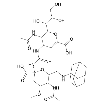 COC1CC(NC(=N)NC2C=C(C(=O)O)OC(C(O)C(O)CO)C2NC(C)=O)(C(=O)O)OC(CNC23CC4CC(CC(C4)C2)C3)C1NC(C)=O